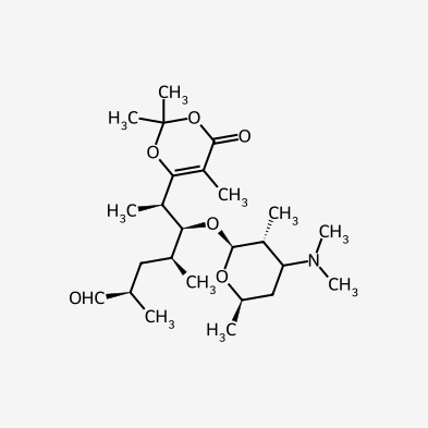 CC1=C([C@H](C)[C@@H](O[C@@H]2O[C@H](C)CC(N(C)C)[C@H]2C)[C@@H](C)C[C@@H](C)C=O)OC(C)(C)OC1=O